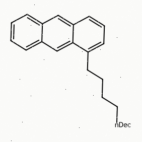 [CH2]CCCCCCCCCCCCCc1cccc2cc3ccccc3cc12